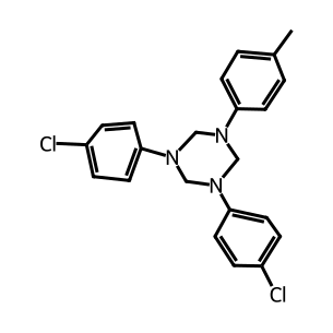 Cc1ccc(N2CN(c3ccc(Cl)cc3)CN(c3ccc(Cl)cc3)C2)cc1